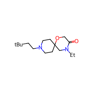 CCN1CC2(CCN(CCC(C)(C)C)CC2)OCC1=O